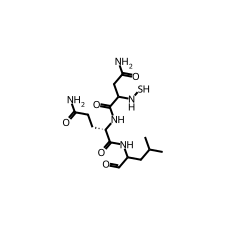 CC(C)CC(C=O)NC(=O)[C@H](CCC(N)=O)NC(=O)C(CC(N)=O)NS